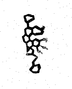 CC1=CC2=C(C(C)[C@H]1C)C1(CC(=O)OCc3ccccc3)CC1N1C=Cc3cc(-c4ccccc4)c4cc(F)ccc4c3C21